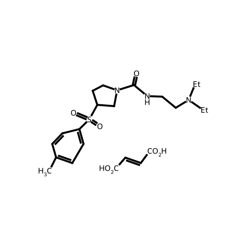 CCN(CC)CCNC(=O)N1CCC(S(=O)(=O)c2ccc(C)cc2)C1.O=C(O)C=CC(=O)O